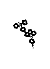 N#Cc1ccc(-n2c3cccc4ccc5c(-c6ccc(-n7c(-c8ccccc8)nc8ccccc87)cc6)ccc2c5c43)cc1